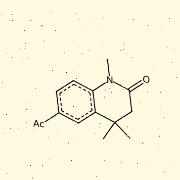 CC(=O)c1ccc2c(c1)C(C)(C)CC(=O)N2C